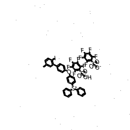 Cc1ccc(I)c(-c2ccc(Oc3ccc([S+](c4ccccc4)c4ccccc4)cc3)cc2)c1.O=S(=O)(O)c1c(F)c(F)c(F)c(F)c1F.O=S(=O)([O-])c1c(F)c(F)c(F)c(F)c1F